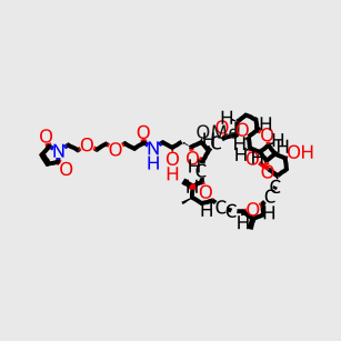 C=C1C[C@@H]2CC[C@]34C[C@@H](O)[C@@H]5C(O3)[C@@H]3[C@H]5O[C@H]5CC[C@H](CC(=O)C[C@@H]6[C@@H](OC)[C@@H](C[C@H](O)CNC(=O)CCOCCOCCN7C(=O)C=CC7=O)O[C@H]6C[C@H]6O[C@@H](CC[C@@H]1O2)C[C@@H](C)C6=C)O[C@@H]5[C@@H]3O4